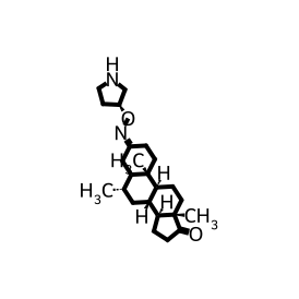 C[C@H]1C[C@@H]2[C@H](CC[C@]3(C)C(=O)CC[C@@H]23)[C@@]2(C)CC/C(=N\O[C@H]3CCNC3)CC12